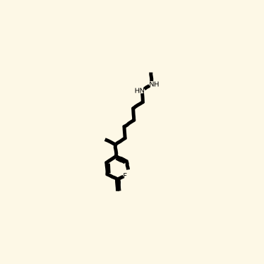 C=C(F)/C=C\C(=C/C)C(C)CCCCCNNC